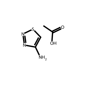 CC(=O)O.Nc1csnn1